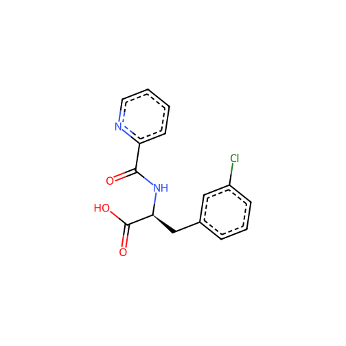 O=C(N[C@@H](Cc1cccc(Cl)c1)C(=O)O)c1ccccn1